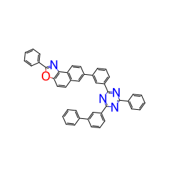 c1ccc(-c2cccc(-c3nc(-c4ccccc4)nc(-c4cccc(-c5ccc6c(ccc7oc(-c8ccccc8)nc76)c5)c4)n3)c2)cc1